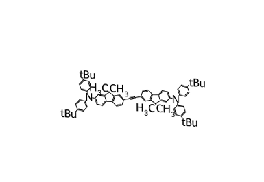 CC(C)(C)c1ccc(N(c2ccc(C(C)(C)C)cc2)c2ccc3c(c2)C(C)(C)c2cc(C#Cc4ccc5c(c4)C(C)(C)c4cc(N(c6ccc(C(C)(C)C)cc6)c6ccc(C(C)(C)C)cc6)ccc4-5)ccc2-3)cc1